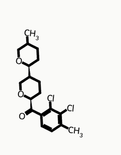 Cc1ccc(C(=O)[C@@H]2CCC([C@@H]3CCC(C)CO3)CO2)c(Cl)c1Cl